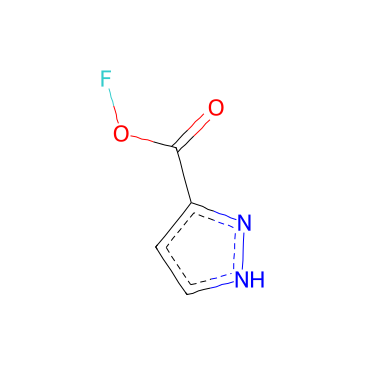 O=C(OF)c1cc[nH]n1